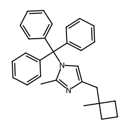 Cc1nc(CC2(C)CCC2)cn1C(c1ccccc1)(c1ccccc1)c1ccccc1